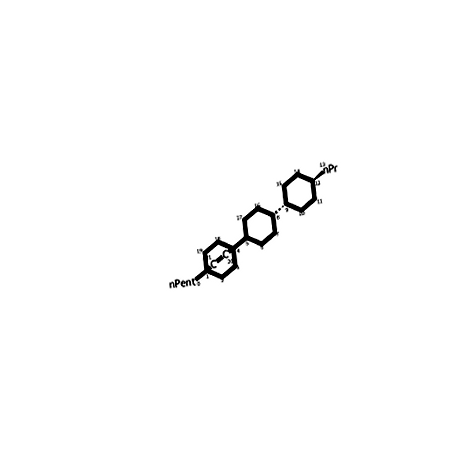 CCCCCC12CCC(C3CCC([C@H]4CC[C@H](CCC)CC4)CC3)(CC1)CC2